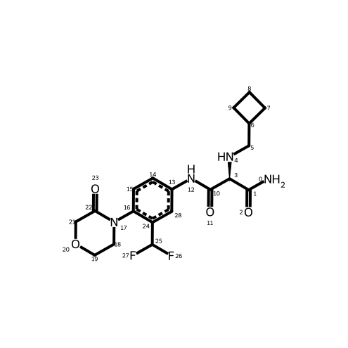 NC(=O)[C@H](NCC1CCC1)C(=O)Nc1ccc(N2CCOCC2=O)c(C(F)F)c1